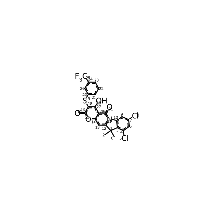 CC1(C)c2c(Cl)cc(Cl)cc2-n2c1cc1oc(=O)c(Sc3cccc(C(F)(F)F)c3)c(O)c1c2=O